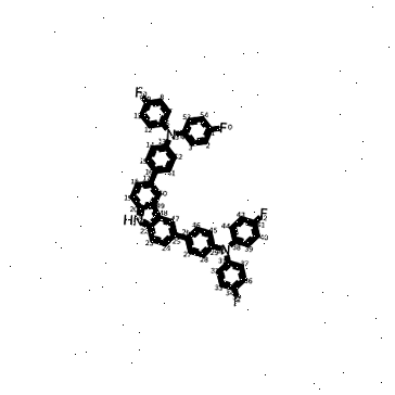 Fc1ccc(N(c2ccc(F)cc2)c2ccc(-c3ccc4[nH]c5ccc(-c6ccc(N(c7ccc(F)cc7)c7ccc(F)cc7)cc6)cc5c4c3)cc2)cc1